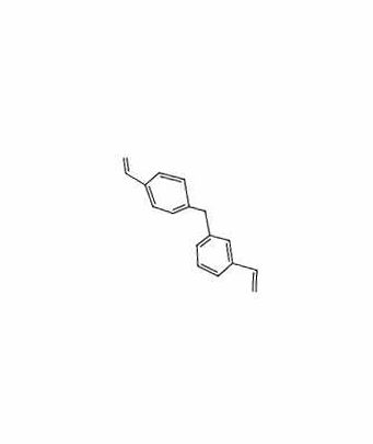 C=Cc1ccc(Cc2cccc(C=C)c2)cc1